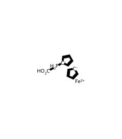 CC(=O)O.P[c-]1cccc1.[Fe+2].c1cc[cH-]c1